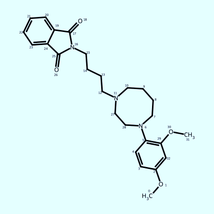 COc1ccc(N2CCCCN(CCCCN3C(=O)c4ccccc4C3=O)CC2)c(OC)c1